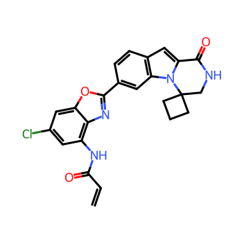 C=CC(=O)Nc1cc(Cl)cc2oc(-c3ccc4cc5n(c4c3)C3(CCC3)CNC5=O)nc12